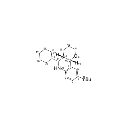 CCCCc1ccc2c(c1)[C@H]1OCCC[C@H]1C(C1CCCCC1)N2